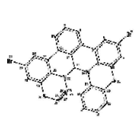 Brc1cc2c3c(c1)-c1cccc4c1C(N3c1ccccc1S2)N1c2ccccc2Sc2cc(Br)cc-4c21